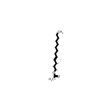 CCCCCCCC/C=C/CCCOC(C)=O